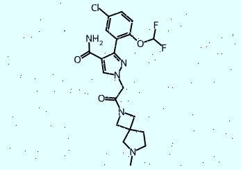 CN1CCC2(C1)CN(C(=O)Cn1cc(C(N)=O)c(-c3cc(Cl)ccc3OC(F)F)n1)C2